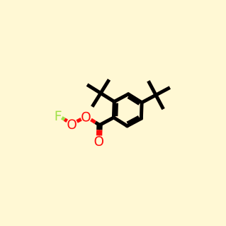 CC(C)(C)c1ccc(C(=O)OOF)c(C(C)(C)C)c1